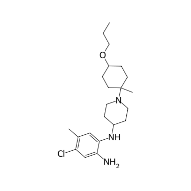 CCCOC1CCC(C)(N2CCC(Nc3cc(C)c(Cl)cc3N)CC2)CC1